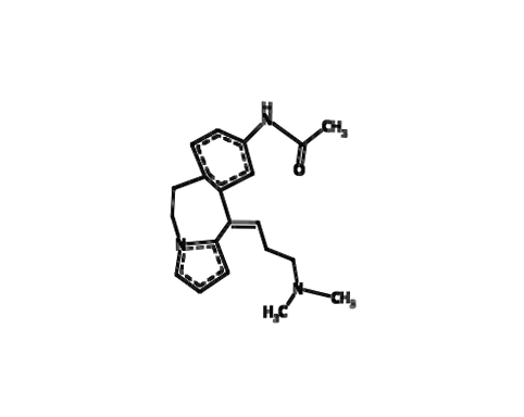 CC(=O)Nc1ccc2c(c1)C(=CCCN(C)C)c1cccn1CC2